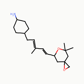 CC(/C=C/C1CC2(CO2)CC(C)(C)O1)=C\CC1CCC(N)CC1